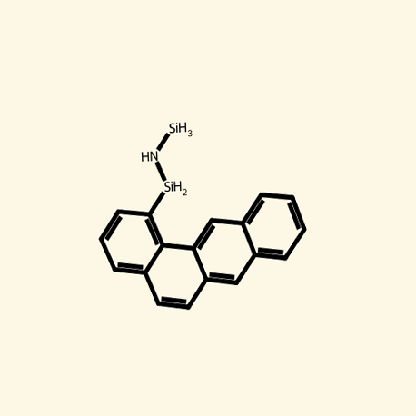 [SiH3]N[SiH2]c1cccc2ccc3cc4ccccc4cc3c12